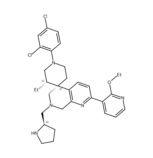 CCOc1ncccc1-c1ccc2c(n1)CN(C[C@H]1CCCN1)C[C@]21CCN(c2ccc(Cl)cc2Cl)C[C@H]1CC